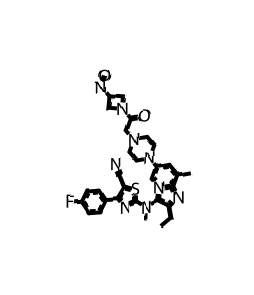 CCc1nc2c(C)cc(N3CCN(CC(=O)N4CC(N=O)C4)CC3)cn2c1N(C)c1nc(-c2ccc(F)cc2)c(C#N)s1